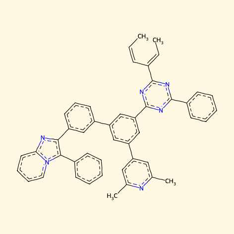 C/C=C\C(=C/C)c1nc(-c2ccccc2)nc(-c2cc(-c3cccc(-c4nc5ccccn5c4-c4ccccc4)c3)cc(-c3cc(C)nc(C)c3)c2)n1